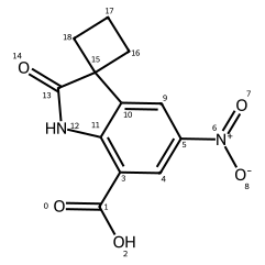 O=C(O)c1cc([N+](=O)[O-])cc2c1NC(=O)C21CCC1